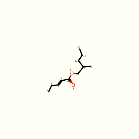 CCC=CC(=O)OCC(C)CCC